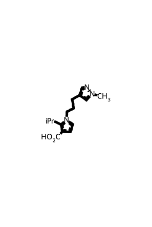 CC(C)c1c(C(=O)O)ccn1CCCc1cnn(C)c1